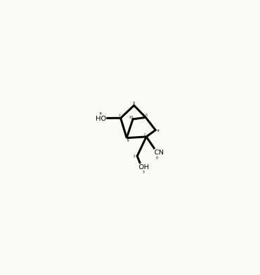 N#CC1(CO)CC2CC(O)C1C2